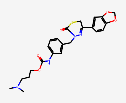 CN(C)CCCOC(=O)Nc1cccc(CN2N=C(c3ccc4c(c3)OCO4)CSC2=O)c1